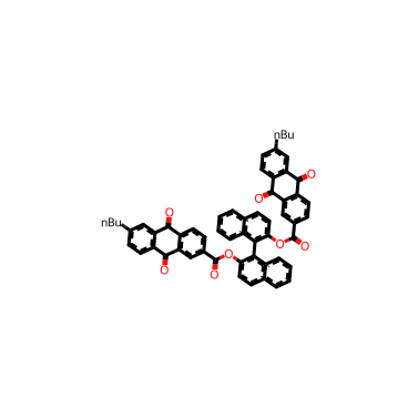 CCCCc1ccc2c(c1)C(=O)c1ccc(C(=O)Oc3ccc4ccccc4c3-c3c(OC(=O)c4ccc5c(c4)C(=O)c4ccc(CCCC)cc4C5=O)ccc4ccccc34)cc1C2=O